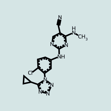 CNc1nc(Nc2ccc(Cl)c(-n3nnnc3C3CC3)c2)ncc1C#N